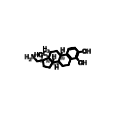 C[C@]12CC[C@@H]3c4ccc(O)c(O)c4CC[C@H]3[C@@H]1CC[C@@]2(O)CN